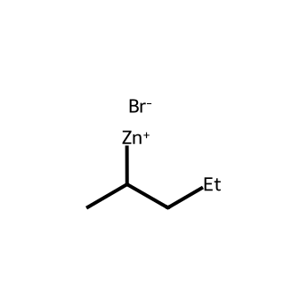 CCC[CH](C)[Zn+].[Br-]